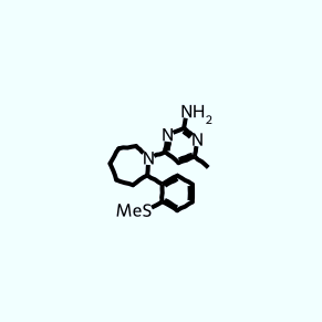 CSc1ccccc1C1CCCCCN1c1cc(C)nc(N)n1